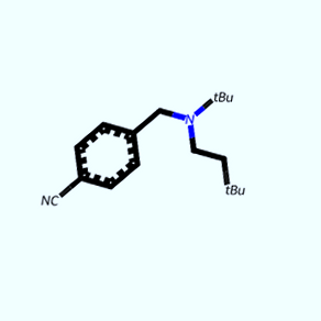 CC(C)(C)CCN(Cc1ccc(C#N)cc1)C(C)(C)C